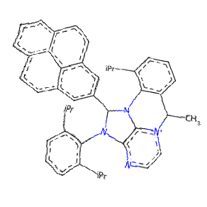 CC(C)c1cccc(C(C)C)c1N1c2ncc[n+]3c2N(c2c(C(C)C)cccc2C3C)C1c1cc2ccc3cccc4ccc(c1)c2c34